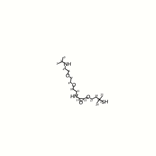 CC(C)NCCOCCOCCNC1OC1OCCC(C)(C)S